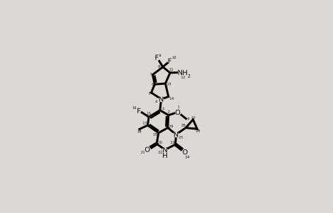 COc1c(N2CC3=CC(F)(F)C(N)C3C2)c(F)c(C)c2c(=O)[nH]c(=O)n(C3CC3)c12